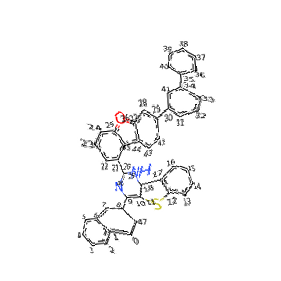 C1=c2ccccc2=CC(C2=C3Sc4ccccc4C3NC(c3cccc4oc5cc(-c6cccc(-c7ccccc7)c6)ccc5c34)=N2)C1